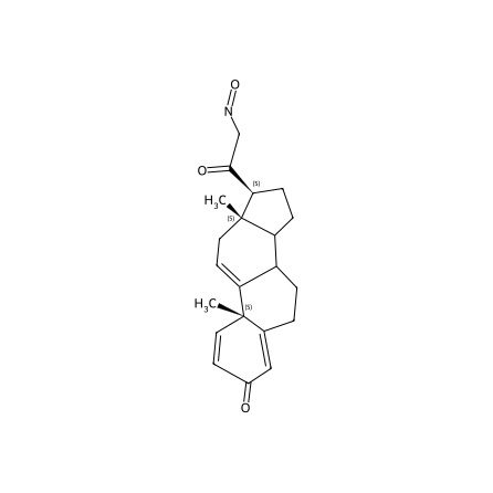 C[C@]12C=CC(=O)C=C1CCC1C2=CC[C@@]2(C)C1CC[C@@H]2C(=O)CN=O